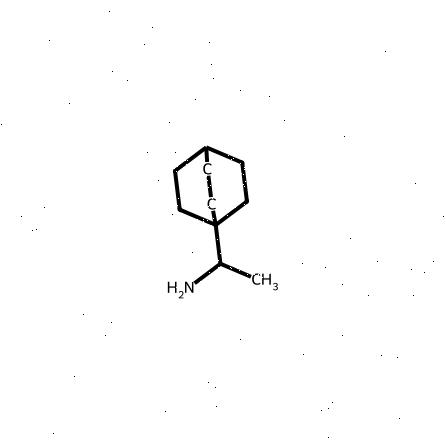 CC(N)C12CCC(CC1)CC2